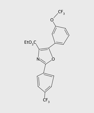 CCOC(=O)c1nc(-c2ccc(C(F)(F)F)cc2)oc1-c1cccc(OC(F)(F)F)c1